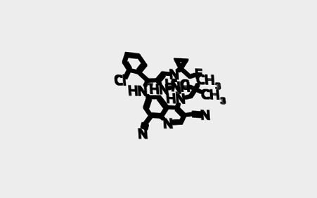 CC(C)(C)CNc1c(C#N)cnc2c(C#N)cc(N[C@H](C3=CN(C4(CF)CC4)NN3)c3ccccc3Cl)cc12